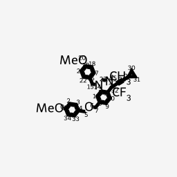 COc1ccc(COCc2ccc3c(c2)N(Cc2ccc(OC)cc2)CN(C)[C@]3(C#CC2CC2)C(F)(F)F)cc1